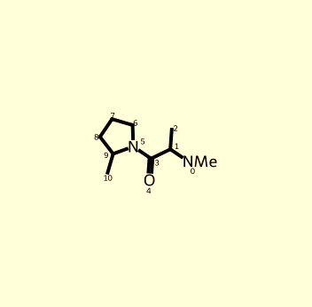 CNC(C)C(=O)N1CCCC1C